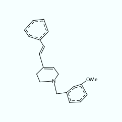 COc1cccc(CN2CC=C(C=Cc3ccccc3)CC2)c1